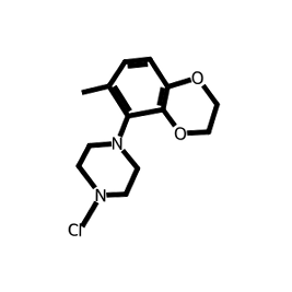 Cc1ccc2c(c1N1CCN(Cl)CC1)OCCO2